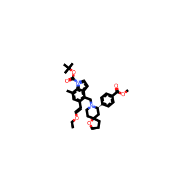 CCO/C=C/c1cc(C)c2c(ccn2C(=O)OC(C)(C)C)c1CN1CCC2(CCCO2)C[C@H]1c1ccc(C(=O)OC)cc1